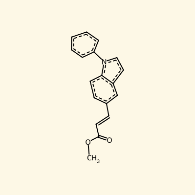 COC(=O)/C=C/c1ccc2c(ccn2-c2ccccc2)c1